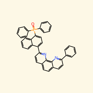 O=P(c1ccccc1)(c1ccccc1)c1ccc(-c2ccc3ccc4ccc(-c5ccccc5)nc4c3n2)c2ccccc12